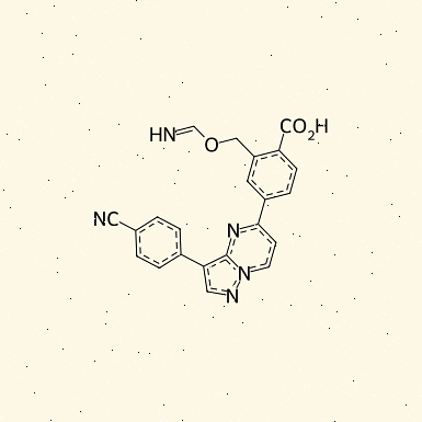 N#Cc1ccc(-c2cnn3ccc(-c4ccc(C(=O)O)c(COC=N)c4)nc23)cc1